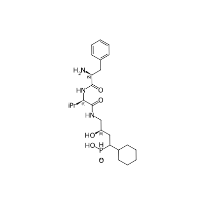 CC(C)[C@@H](NC(=O)[C@@H](N)Cc1ccccc1)C(=O)NC[C@H](O)CC(C1CCCCC1)[PH](=O)O